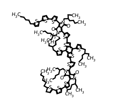 CCCCCCc1ccc(-c2ccc(-c3ccc(C4=C5C(=O)N(CC(CC)CCCC)C(c6ccc(-c7cc8c(-c9ccc(CC(CC)CCCC)s9)c9sc(-c%10ccc(C%11=C%12C(=O)N(CC(CC)CCCC)C(c%13ccc(-c%14ccc(C%15=CCC(CCCCCC)S%15)s%14)s%13)=C%12C(=O)N%11CC(CC)CCCC)s%10)cc9c(-c9ccc(CC(CC)CCCC)s9)c8s7)s6)=C5C(=O)N4CC(CC)CCCC)s3)s2)s1